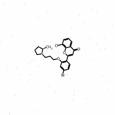 C[C@@H]1CCCN1CCCOc1cc(Br)ccc1-c1cc(=O)c2cccc(Cl)c2o1